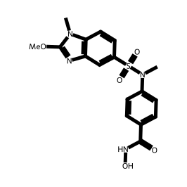 COc1nc2cc(S(=O)(=O)N(C)c3ccc(C(=O)NO)cc3)ccc2n1C